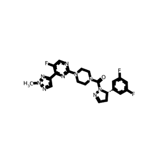 Cn1ncc(-c2nc(N3CCN(C(=O)N4N=CC[C@H]4c4cc(F)cc(F)c4)CC3)ncc2F)n1